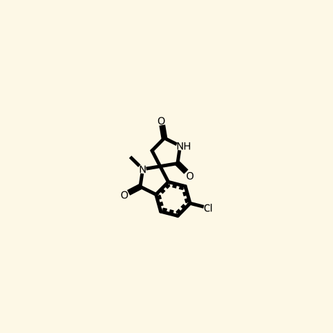 CN1C(=O)c2ccc(Cl)cc2C12CC(=O)NC2=O